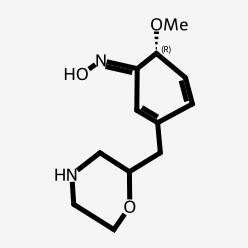 CO[C@@H]1C=CC(CC2CNCCO2)=CC1=NO